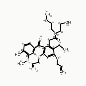 C=CCOc1cc(OCC=C)c(C(=O)c2ccc(O)c(OC)c2)c(CC(=O)N(CCO)CCOC)c1CC